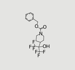 O=C(OCc1ccccc1)N1CCC(C(O)(C(F)(F)F)C(F)(F)F)CC1